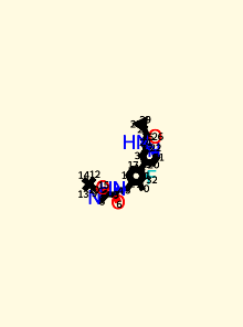 Cc1c(CNC(=O)c2cnc(C(C)(C)C)o2)ccc(-c2ccnc(NC(=O)C3CC3)c2)c1F